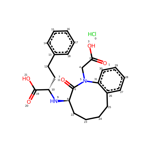 Cl.O=C(O)CN1C(=O)[C@H](N[C@@H](CCc2ccccc2)C(=O)O)CCCCc2ccccc21